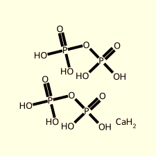 O=P(O)(O)OP(=O)(O)O.O=P(O)(O)OP(=O)(O)O.[CaH2]